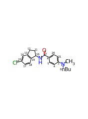 CCCCN(C)c1ccc(C(=O)N[C@@H]2CCc3cc(Cl)ccc32)cc1